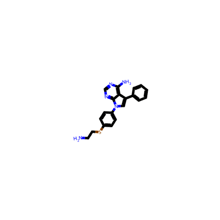 NCCSc1ccc(-n2cc(-c3ccccc3)c3c(N)ncnc32)cc1